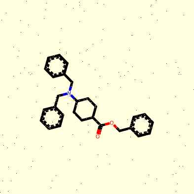 O=C(OCc1ccccc1)C1CCC(N(Cc2ccccc2)Cc2ccccc2)CC1